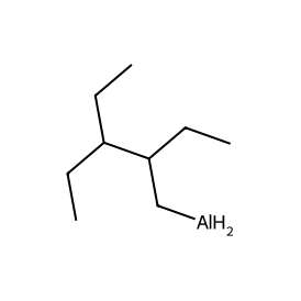 CCC(CC)C(CC)[CH2][AlH2]